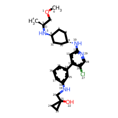 COC[C@H](C)N[C@H]1CC[C@H](Nc2cc(-c3cccc(NCC4(O)CC4)c3)c(Cl)cn2)CC1